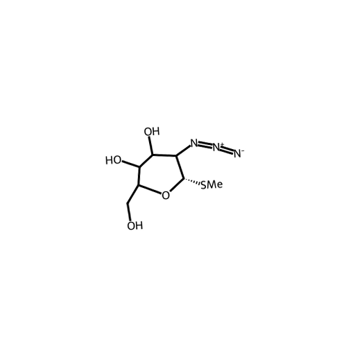 CS[C@@H]1OC(CO)C(O)C(O)C1N=[N+]=[N-]